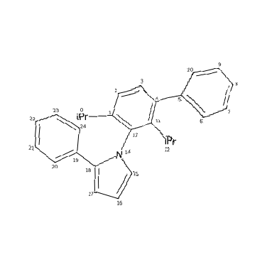 CC(C)c1ccc(-c2ccccc2)c(C(C)C)c1-n1cccc1-c1ccccc1